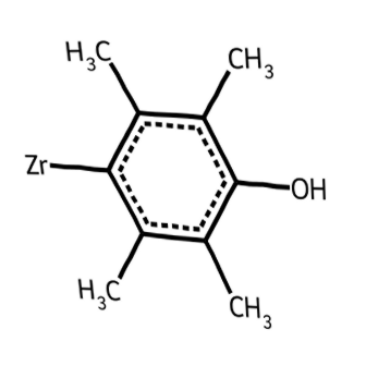 Cc1c(C)[c]([Zr])c(C)c(C)c1O